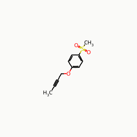 CC#CCOc1ccc(S(C)(=O)=O)cc1